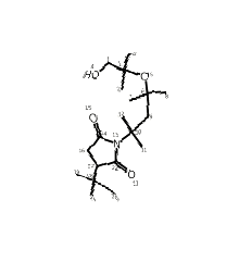 CC(C)(CO)OC(C)(C)CC(C)(C)N1C(=O)CC(C(C)(C)C)C1=O